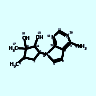 CC1CC(n2ccc3c(N)ncnc32)C(O)C1(C)O